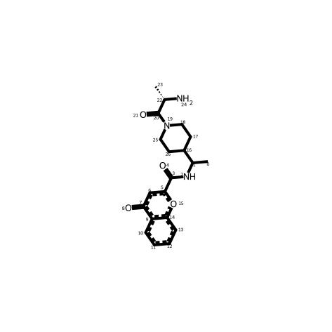 CC(NC(=O)c1cc(=O)c2ccccc2o1)C1CCN(C(=O)[C@H](C)N)CC1